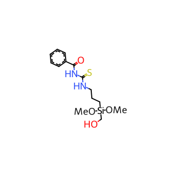 CO[Si](CO)(CCCNC(=S)NC(=O)c1ccccc1)OC